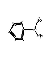 CCCCN(N=O)c1ccccc1